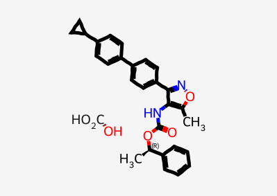 Cc1onc(-c2ccc(-c3ccc(C4CC4)cc3)cc2)c1NC(=O)O[C@H](C)c1ccccc1.O=C(O)O